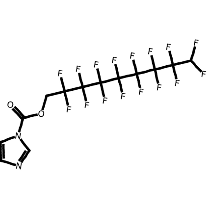 O=C(OCC(F)(F)C(F)(F)C(F)(F)C(F)(F)C(F)(F)C(F)(F)C(F)(F)C(F)F)n1ccnc1